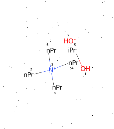 CC(C)O.CCC[N+](CCC)(CCC)CCC.[OH-]